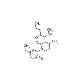 CCOC(=O)C(NC)C1=C(C)CCN(c2cn(CC)ccc2=O)C1=O